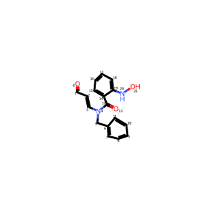 O=CC=CN(Cc1ccccc1)C(=O)c1ccccc1NO